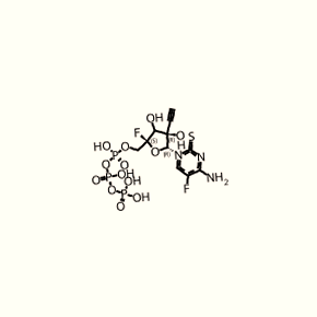 C#C[C@@]1(O)C(O)[C@@](F)(COP(=O)(O)OP(=O)(O)OP(=O)(O)O)O[C@H]1n1cc(F)c(N)nc1=S